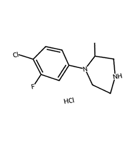 CC1CNCCN1c1ccc(Cl)c(F)c1.Cl